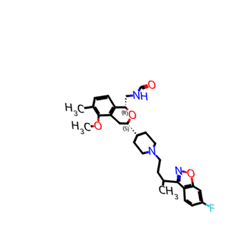 COc1c(C)ccc2c1C[C@@H](C1CCN(CCC(C)c3noc4cc(F)ccc34)CC1)O[C@H]2CNC=O